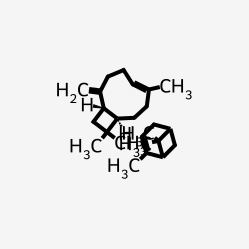 C=C1CC/C=C(\C)CC[C@@H]2[C@@H]1CC2(C)C.CC1=CCC2CC1C2(C)C